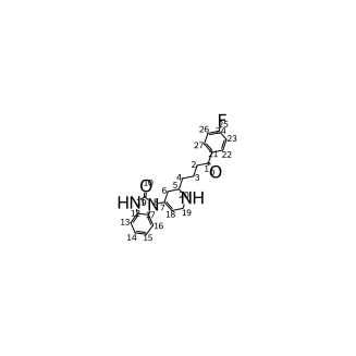 O=C(CCCC1CC(n2c(=O)[nH]c3ccccc32)=CCN1)c1ccc(F)cc1